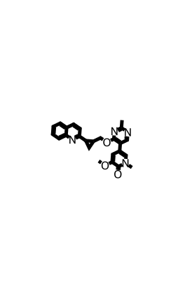 COc1cc(-c2cnc(C)nc2OCC2CC2c2ccc3ccccc3n2)cn(C)c1=O